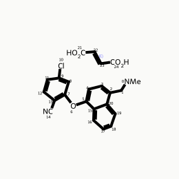 CNCc1ccc(Oc2cc(Cl)ccc2C#N)c2ccccc12.O=C(O)/C=C/C(=O)O